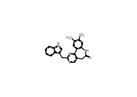 Cc1cc2c(cc1C)-c1nc(Cc3c[nH]c4ccccc34)ncc1CC(=O)N2